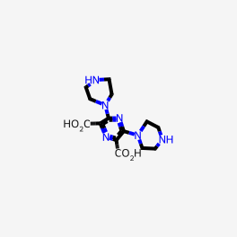 O=C(O)c1nc(C(=O)O)c(N2CCNCC2)nc1N1CCNCC1